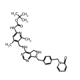 Cc1cc(NC(=O)OC(C)(C)C)nc(C)c1CNc1ncnc2c1CNN2Cc1ccc(Cn2ccccc2=O)cc1